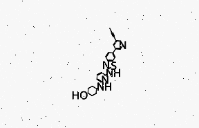 CC#Cc1cncc(-c2ccc3nc(Nc4cccc(NC5CCC(O)CC5)n4)sc3c2)c1